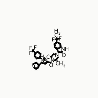 CC1CN(C2C(=O)Nc3cc(C(C)(F)F)ccc32)C[C@H](C)N1C(=O)c1cc(-c2ccncc2)n(-c2ccc(C(F)(F)F)cc2)n1